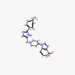 O=c1[nH]ccc2c1ncn2C1CCN(Cc2cnc(-c3ccc(C(F)(F)F)cc3)[nH]2)CC1